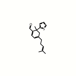 CC(C)=CCCC1=CC=C(C=O)C(C)(c2cccs2)C1